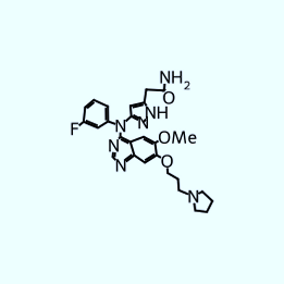 COc1cc2c(N(c3cccc(F)c3)c3cc(CC(N)=O)[nH]n3)ncnc2cc1OCCCN1CCCC1